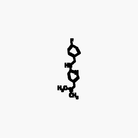 CN(C)Cc1ccc(NCc2ccc(F)cc2)nc1